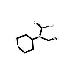 CCC[C@H](CC)N(CC(C)C)C1CCOCC1